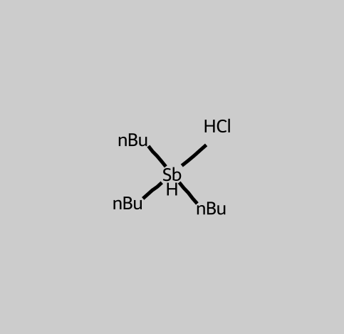 CCC[CH2][SbH]([CH3])([CH2]CCC)[CH2]CCC.Cl